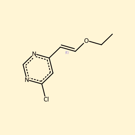 CCO/C=C/c1cc(Cl)ncn1